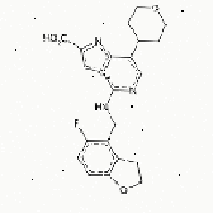 O=C(O)c1cn2c(NCc3c(F)ccc4c3CCO4)ncc(C3CCOCC3)c2n1